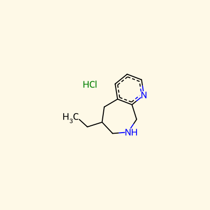 CCC1CNCc2ncccc2C1.Cl